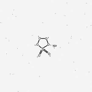 O=S1(=O)OOOO1.[Na]